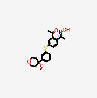 COC1(c2cccc(Sc3ccc(/C(C)=N/O)c(C(C)=O)c3)c2)CCOCC1